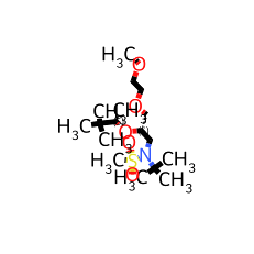 COCCOC[C@H](CN(C(C)(C)C)S(C)(=O)=O)O[C@@H](C)C(C)(C)C